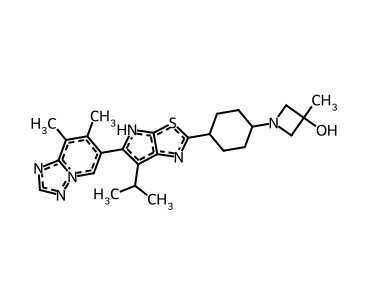 Cc1c(-c2[nH]c3sc(C4CCC(N5CC(C)(O)C5)CC4)nc3c2C(C)C)cn2ncnc2c1C